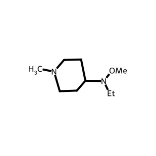 CCN(OC)C1CCN(C)CC1